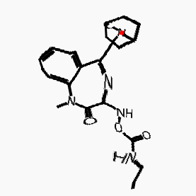 CCNC(=O)ONC1N=C(N2CC3CCC(CC3)C2)c2ccccc2N(C)C1=O